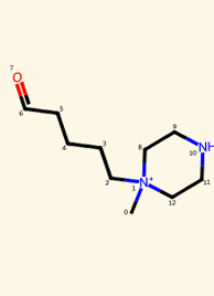 C[N+]1(CCCCC=O)CCNCC1